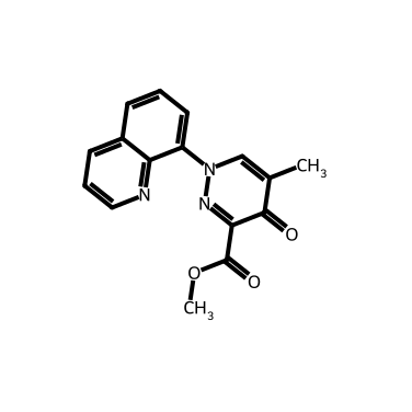 COC(=O)c1nn(-c2cccc3cccnc23)cc(C)c1=O